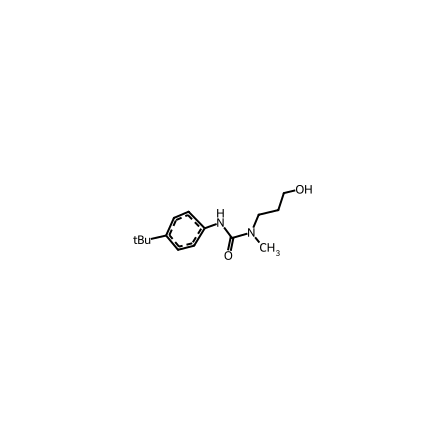 CN(CCCO)C(=O)Nc1ccc(C(C)(C)C)cc1